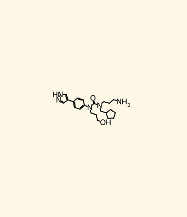 NCCCN(CC1CCCC1)C(=O)N(CCCO)c1ccc(-c2cn[nH]c2)cc1